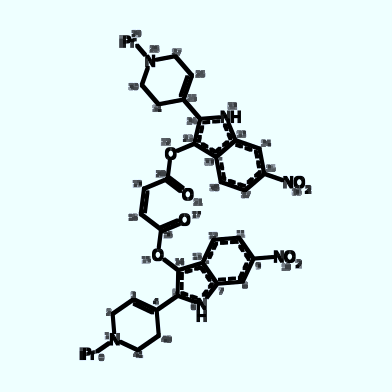 CC(C)N1CC=C(c2[nH]c3cc([N+](=O)[O-])ccc3c2OC(=O)/C=C\C(=O)Oc2c(C3=CCN(C(C)C)CC3)[nH]c3cc([N+](=O)[O-])ccc23)CC1